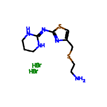 Br.Br.NCCSCc1csc(N=C2NCCCN2)n1